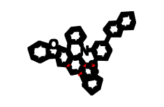 c1ccc(-c2ccc(-c3ccc4ccccc4c3)cc2N(c2ccccc2-c2cccc3c2oc2ccccc23)c2cccc3c2oc2ccccc23)cc1